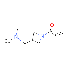 C=CC(=O)N1CC(CN(C)C(C)CC)C1